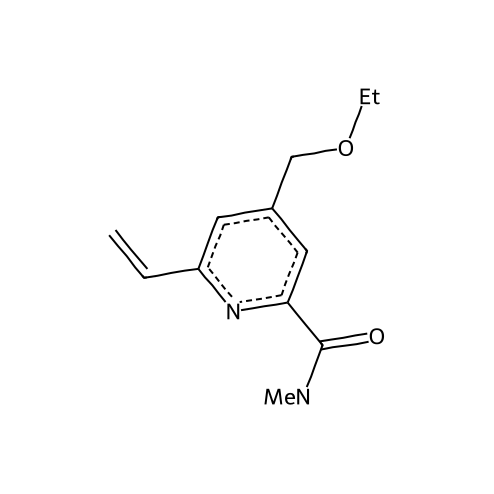 C=Cc1cc(COCC)cc(C(=O)NC)n1